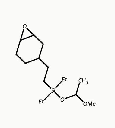 CC[Si](CC)(CCC1CCC2OC2C1)OC(C)OC